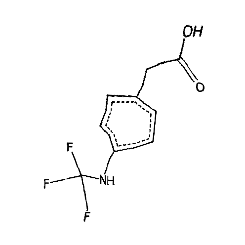 O=C(O)Cc1ccc(NC(F)(F)F)cc1